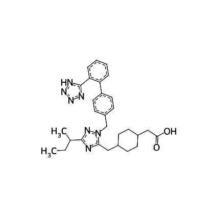 CCC(C)c1nc(CC2CCC(CC(=O)O)CC2)n(Cc2ccc(-c3ccccc3-c3nnn[nH]3)cc2)n1